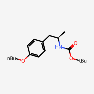 CCCCOc1ccc(C[C@@H](C)NC(=O)OC(C)(C)C)cc1